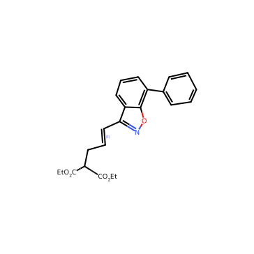 CCOC(=O)C(C/C=C/c1noc2c(-c3ccccc3)cccc12)C(=O)OCC